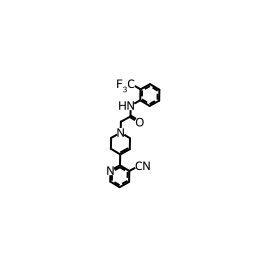 N#Cc1cccnc1C1=CCN(CC(=O)Nc2ccccc2C(F)(F)F)CC1